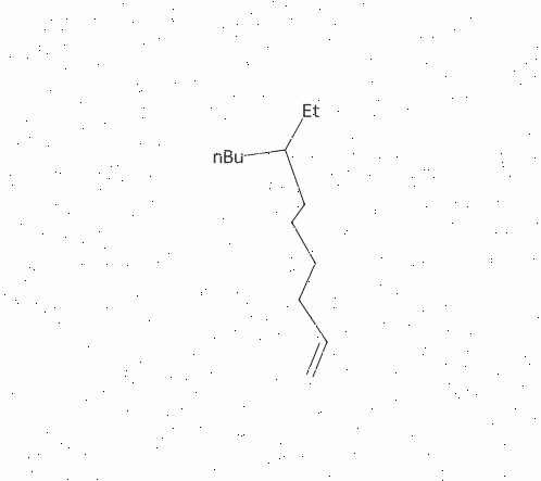 C=CCCCCC(CC)CCCC